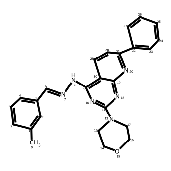 Cc1cccc(C=NNc2nc(N3CCOCC3)nc3nc(-c4ccccc4)ccc23)c1